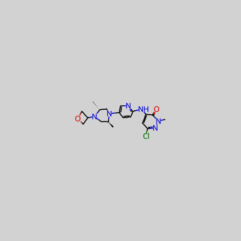 C[C@@H]1CN(c2ccc(Nc3cc(Cl)nn(C)c3=O)nc2)[C@@H](C)CN1C1COC1